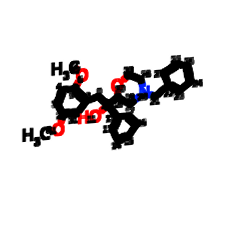 COc1ccc(OC)c(CC(O)(c2ccccc2)C2CN(Cc3ccccc3)CCO2)c1